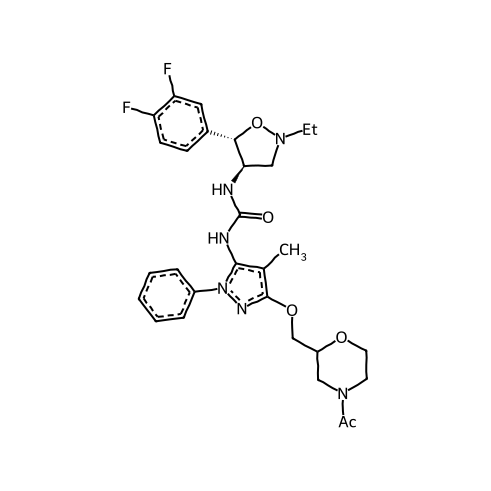 CCN1C[C@@H](NC(=O)Nc2c(C)c(OCC3CN(C(C)=O)CCO3)nn2-c2ccccc2)[C@H](c2ccc(F)c(F)c2)O1